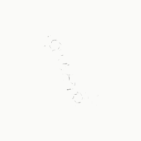 CC(C)(O)c1cccc(C(=O)NC23CC(NC(=O)COc4ccc(Cl)c(F)c4)(C2)C3)c1